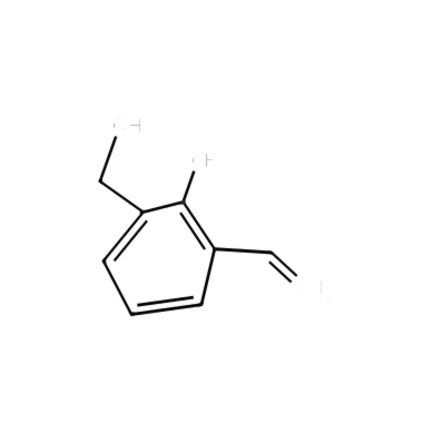 C=Cc1cccc(CO)c1C(F)(F)F